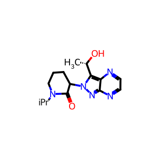 CC(C)N1CCCC(n2nc3nccnc3c2[C@H](C)O)C1=O